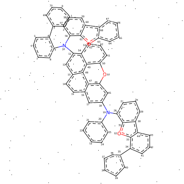 c1ccc(-c2ccccc2N(c2cc3ccc4cc(N(c5ccccc5)c5cccc6c5oc5c(-c7ccccc7)cccc56)cc5c4c3c3c(cccc23)O5)c2cccc3c2oc2ccccc23)cc1